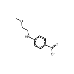 COCCNc1ccc([N+](=O)[O-])cc1